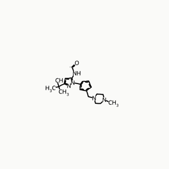 CN1CCN(Cc2cccc(-n3nc(C(C)(C)C)cc3N[C]=O)c2)CC1